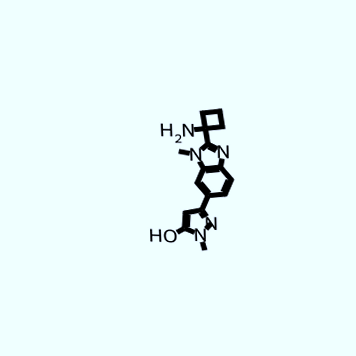 Cn1nc(-c2ccc3nc(C4(N)CCC4)n(C)c3c2)cc1O